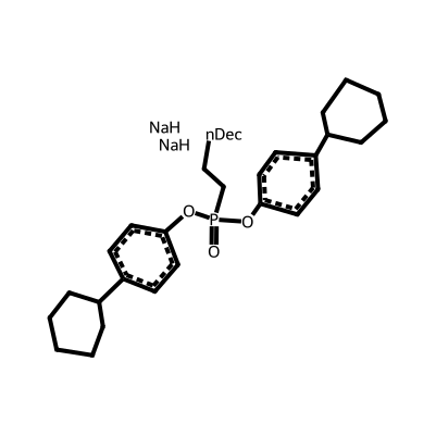 CCCCCCCCCCCCP(=O)(Oc1ccc(C2CCCCC2)cc1)Oc1ccc(C2CCCCC2)cc1.[NaH].[NaH]